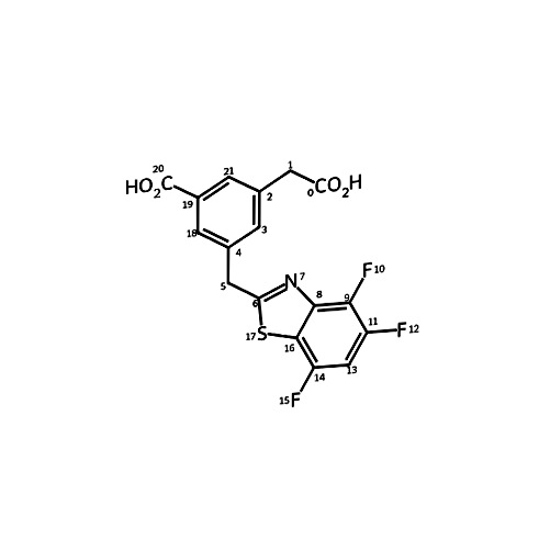 O=C(O)Cc1cc(Cc2nc3c(F)c(F)cc(F)c3s2)cc(C(=O)O)c1